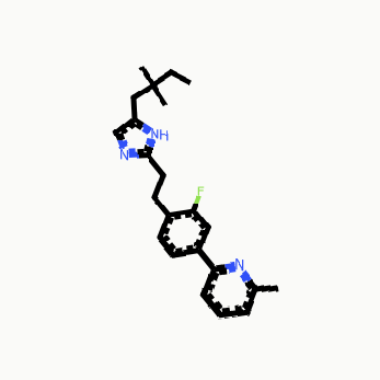 CCC(C)(C)Cc1cnc(CCc2ccc(-c3cccc(C)n3)cc2F)[nH]1